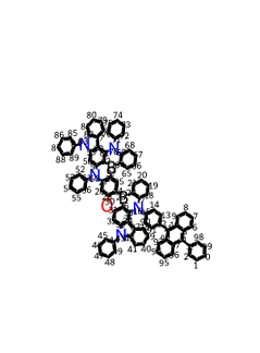 c1ccc(-c2c3ccccc3c(-c3ccc(N4c5ccccc5B5c6cc7c(cc6Oc6cc8c(c4c65)c4ccccc4n8-c4ccccc4)N(c4ccccc4)c4cc5c(c6c4B7c4ccccc4N6c4ccccc4)c4ccccc4n5-c4ccccc4)cc3)c3ccccc23)cc1